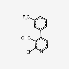 O=Cc1c(-c2cccc(C(F)(F)F)c2)ccnc1Cl